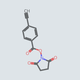 C#Cc1ccc(C(=O)ON2C(=O)CCC2=O)cc1